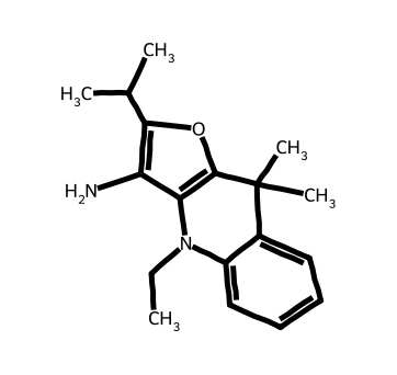 CCN1c2ccccc2C(C)(C)c2oc(C(C)C)c(N)c21